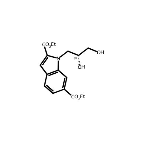 CCOC(=O)c1ccc2cc(C(=O)OCC)n(C[C@@H](O)CO)c2c1